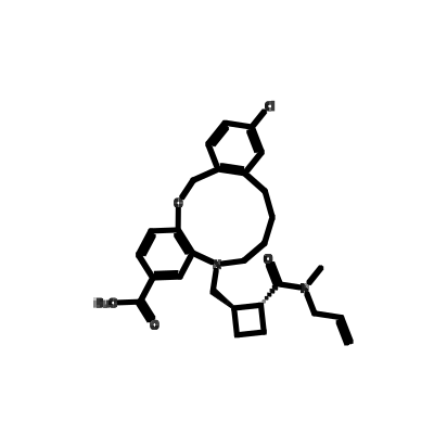 C=CCN(C)C(=O)[C@@H]1CC[C@H]1CN1CCCCc2cc(Cl)ccc2COc2ccc(C(=O)OCC(C)C)cc21